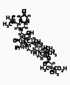 CC(C)C1=C2[C@H]3CC[C@@H]4[C@@]5(C)CC[C@H](OC(=O)CC(C)(C)C(=O)O)C(C)(C)[C@@H]5CC[C@@]4(C)[C@]3(C)CCC2(C(O)CN(CCN(C)C)Cc2ncc(Cl)cn2)CC1=O